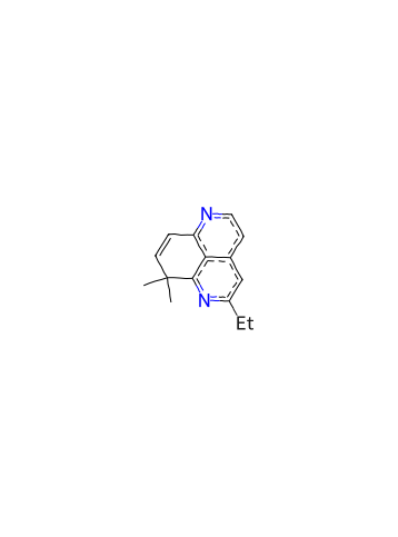 CCc1cc2ccnc3c2c(n1)C(C)(C)C=C3